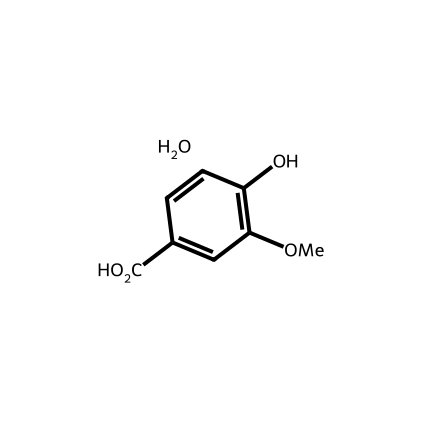 COc1cc(C(=O)O)ccc1O.O